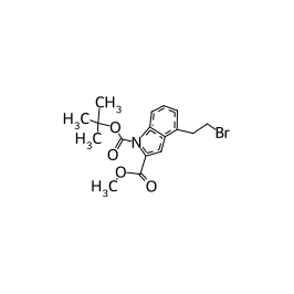 COC(=O)c1cc2c(CCBr)cccc2n1C(=O)OC(C)(C)C